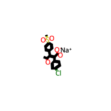 CC(=O)/C(=C(/C(=O)[O-])c1ccc(Cl)cc1)c1ccc(S(C)(=O)=O)cc1.[Na+]